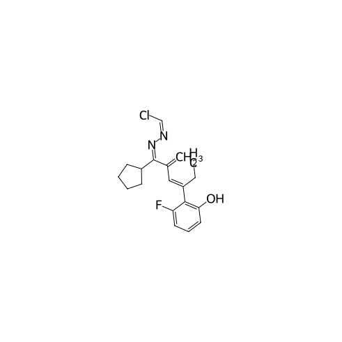 C=C(/C=C(\CC)c1c(O)cccc1F)/C(=N\N=C/Cl)C1CCCC1